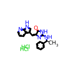 C[C@H](NC1=NC(=Cc2c[nH]c3ncccc23)C(=O)N1)c1ccccc1.Cl.Cl